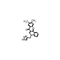 Cc1ccc(C(=O)c2cn(Cc3c[nH]nn3)c3ccccc3c2=O)cc1C